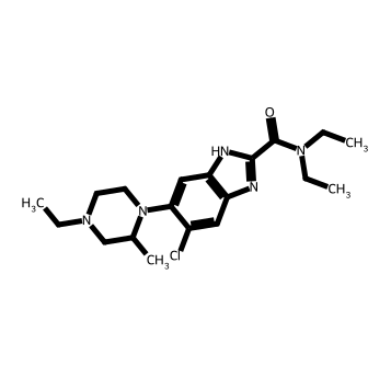 CCN1CCN(c2cc3[nH]c(C(=O)N(CC)CC)nc3cc2Cl)C(C)C1